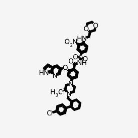 C[C@@H]1CN(c2ccc(C(=O)NS(=O)(=O)c3ccc(NCC4COCCO4)c([N+](=O)[O-])c3)c(Oc3cnc4[nH]ccc4c3)c2)CCN1CC1=C(c2ccc(Cl)cc2)CCCC1